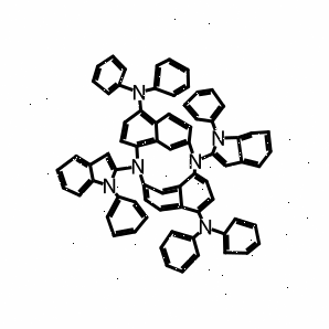 c1ccc(N(c2ccccc2)c2ccc3c4cc(ccc24)n(-c2cc4ccccc4n2-c2ccccc2)c2ccc(N(c4ccccc4)c4ccccc4)c4ccc(cc42)n3-c2cc3ccccc3n2-c2ccccc2)cc1